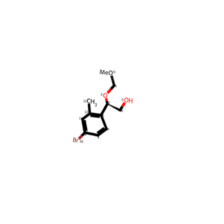 COCO[C@@H](CO)c1ccc(Br)cc1C